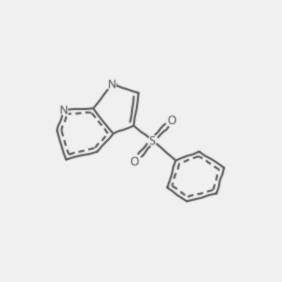 O=S(=O)(C1=C[N]c2ncccc21)c1ccccc1